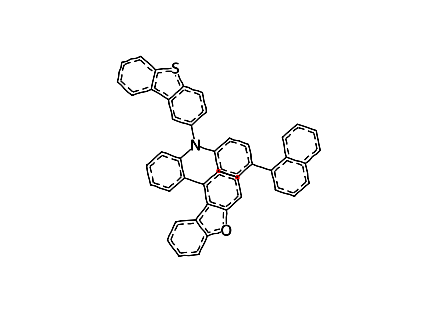 c1ccc(N(c2ccc(-c3cccc4ccccc34)cc2)c2ccc3sc4ccccc4c3c2)c(-c2cccc3oc4ccccc4c23)c1